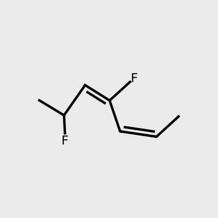 C/C=C\C(F)=C/C(C)F